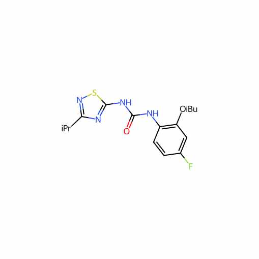 CC(C)COc1cc(F)ccc1NC(=O)Nc1nc(C(C)C)ns1